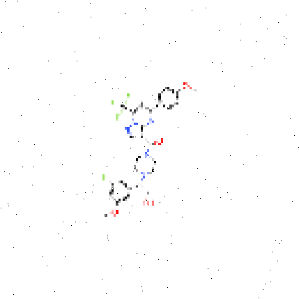 COc1ccc(-c2nc3c(C(=O)N4CCN([C@H](CO)c5cc(F)cc(OC)c5)C[C@H]4C)cnn3c(C(F)(F)F)c2C)cc1